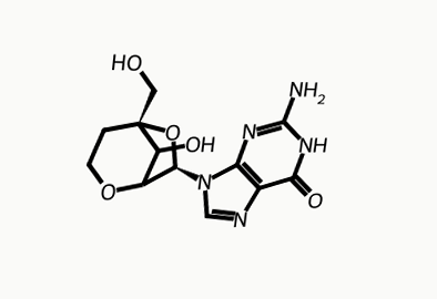 Nc1nc2c(ncn2[C@@H]2O[C@@]3(CO)CCOC2C3O)c(=O)[nH]1